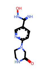 N=C(NO)c1ccc(N2CCNC(=O)C2)nc1